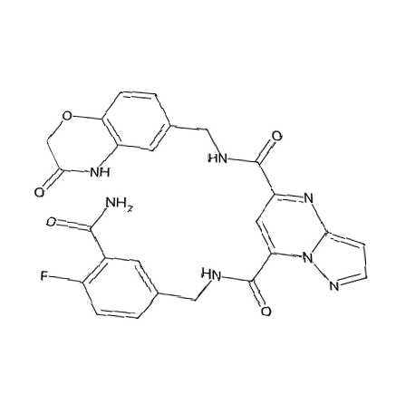 NC(=O)c1cc(CNC(=O)c2cc(C(=O)NCc3ccc4c(c3)NC(=O)CO4)nc3ccnn23)ccc1F